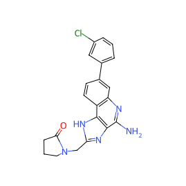 Nc1nc2cc(-c3cccc(Cl)c3)ccc2c2[nH]c(CN3CCCC3=O)nc12